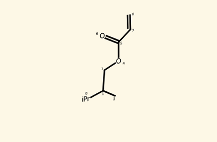 [CH2]C(C)C(C)COC(=O)C=C